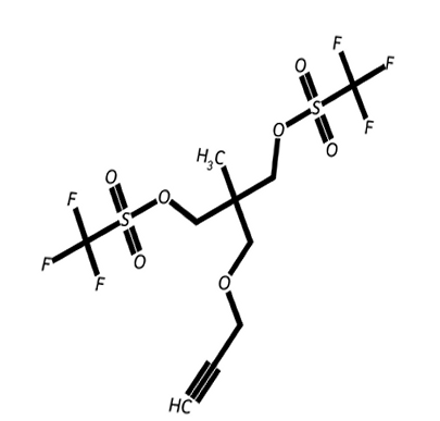 C#CCOCC(C)(COS(=O)(=O)C(F)(F)F)COS(=O)(=O)C(F)(F)F